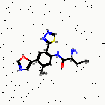 CCC(C)C[C@@H](N)C(=O)Nc1cc(OC)c(-c2cnco2)cc1-c1nncs1